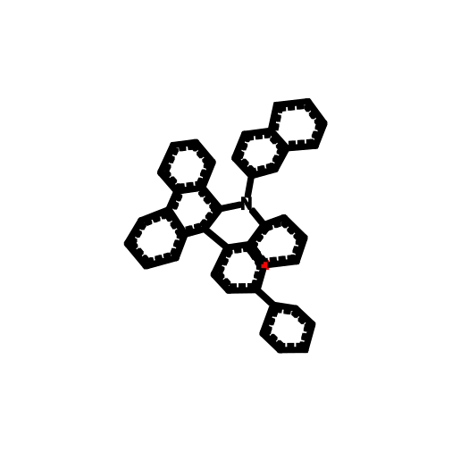 c1ccc(-c2ccc(-c3c(N(c4ccccc4)c4ccc5ccccc5c4)c4ccccc4c4ccccc34)cc2)cc1